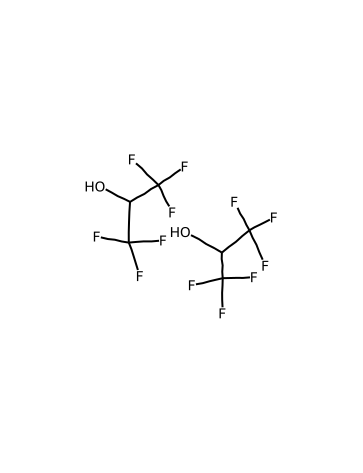 OC(C(F)(F)F)C(F)(F)F.OC(C(F)(F)F)C(F)(F)F